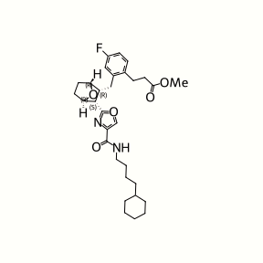 COC(=O)CCc1ccc(F)cc1C[C@@H]1[C@H](c2nc(C(=O)NCCCCC3CCCCC3)co2)[C@H]2CC[C@H]1O2